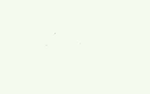 C/C=C(/O)C(=O)/C=C(\C)C(F)F